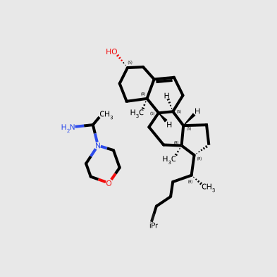 CC(C)CCC[C@@H](C)[C@H]1CC[C@H]2[C@@H]3CC=C4C[C@@H](O)CC[C@]4(C)[C@H]3CC[C@]12C.CC(N)N1CCOCC1